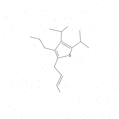 C/C=C/Cc1sc(C(C)C)c(C(C)C)c1CCC